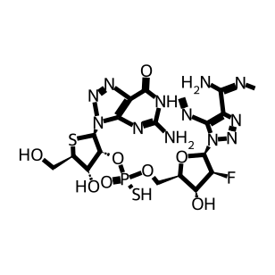 C=Nc1c(/C(N)=N\C)nnn1[C@@H]1O[C@H](COP(=O)(S)O[C@@H]2[C@H](O)[C@@H](CO)S[C@H]2n2nnc3c(=O)[nH]c(N)nc32)[C@@H](O)[C@@H]1F